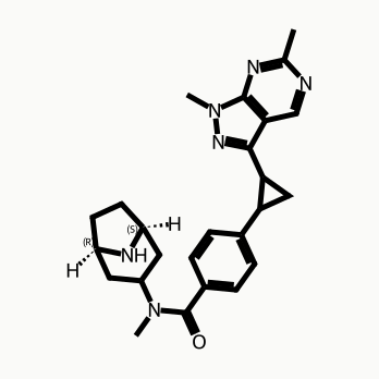 Cc1ncc2c(C3CC3c3ccc(C(=O)N(C)C4C[C@H]5CC[C@@H](C4)N5)cc3)nn(C)c2n1